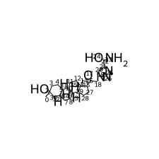 C[C@@]1(O)CC[C@H]2[C@H](CC[C@@H]3[C@@H]2CC[C@]2(C)[C@@H](C(=O)Cn4cc(C(N)O)nn4)CC[C@@H]32)C1